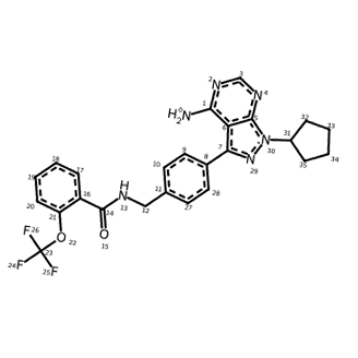 Nc1ncnc2c1c(-c1ccc(CNC(=O)c3ccccc3OC(F)(F)F)cc1)nn2C1CCCC1